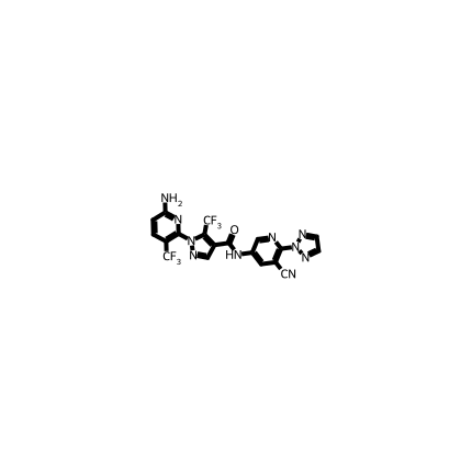 N#Cc1cc(NC(=O)c2cnn(-c3nc(N)ccc3C(F)(F)F)c2C(F)(F)F)cnc1-n1nccn1